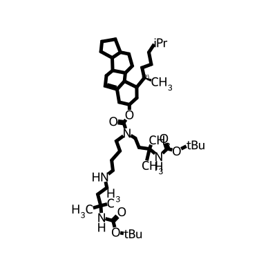 CC(C)CCC[C@@H](C)C1CC(OC(=O)N(CCCCNCCC(C)(C)NC(=O)OC(C)(C)C)CCC(C)(C)NC(=O)OC(C)(C)C)CC2=CCC3C4CCCC4CCC3C21